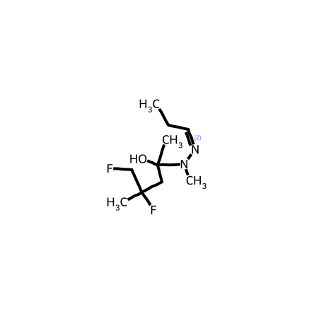 CC/C=N\N(C)C(C)(O)CC(C)(F)CF